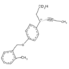 CC#C[C@@H](CC(=O)O)c1ccc(OCc2ccccc2C)cc1